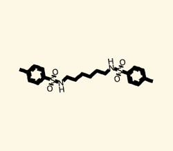 Cc1ccc(S(=O)(=O)NCCCCCCNS(=O)(=O)c2ccc(C)cc2)cc1